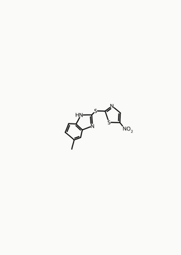 Cc1ccc2[nH]c(Sc3ncc([N+](=O)[O-])s3)nc2c1